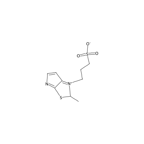 CC1SC2=NC=CC2=[N+]1CCCS(=O)(=O)[O-]